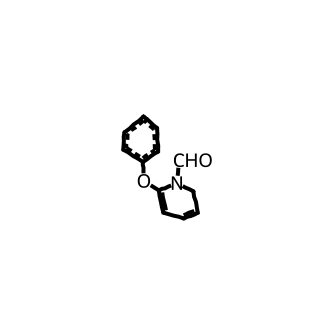 O=CN1CC=CC=C1Oc1ccccc1